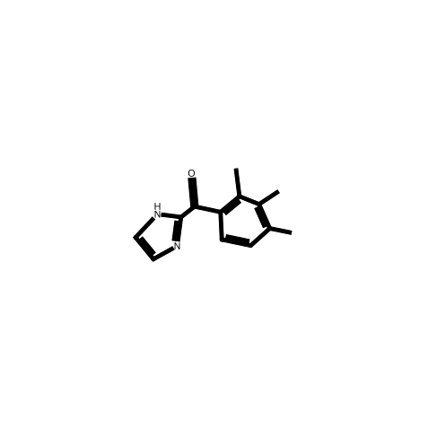 Cc1ccc(C(=O)c2ncc[nH]2)c(C)c1C